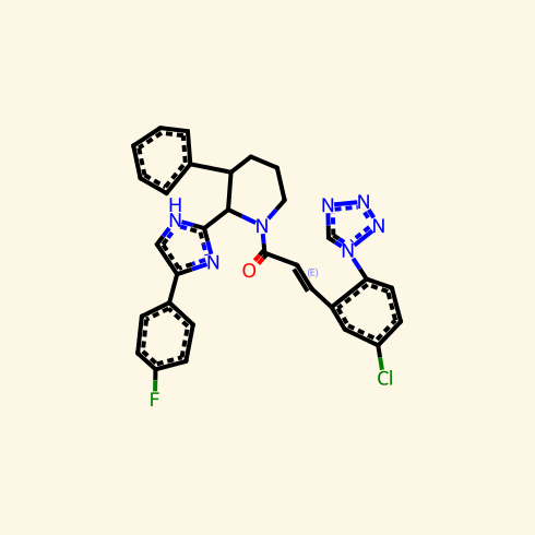 O=C(/C=C/c1cc(Cl)ccc1-n1cnnn1)N1CCCC(c2ccccc2)C1c1nc(-c2ccc(F)cc2)c[nH]1